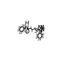 O=C(CCCSc1nnnn1C1CCCCC1)NC1CCCCC1